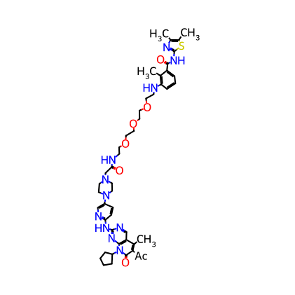 CC(=O)c1c(C)c2cnc(Nc3ccc(N4CCN(CC(=O)NCCOCCOCCOCCNc5cccc(C(=O)Nc6nc(C)c(C)s6)c5C)CC4)cn3)nc2n(C2CCCC2)c1=O